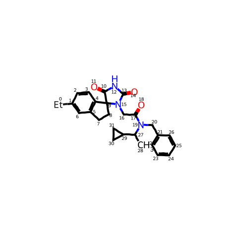 CCc1ccc2c(c1)CCC21C(=O)NC(=O)N1CC(=O)N(Cc1ccccc1)C(C)C1CC1